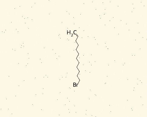 C=CCCCCCCCCCCBr